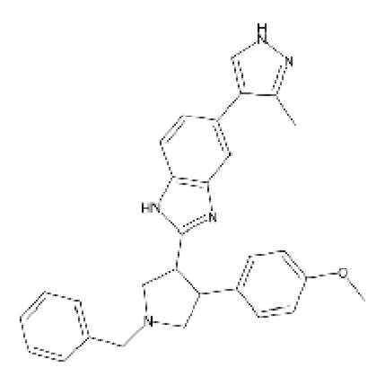 COc1ccc(C2CN(Cc3ccccc3)CC2c2nc3cc(-c4c[nH]nc4C)ccc3[nH]2)cc1